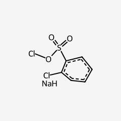 O=S(=O)(OCl)c1ccccc1Cl.[NaH]